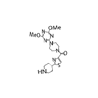 COc1nc(OC)nc(N2CCN(C(=O)c3csc(C4CCNCC4)n3)CC2)n1